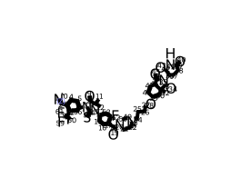 C/N=C\c1ccc(N2C(=O)C(C)(C)N(c3ccc(C(=O)N4CCN(CCCCOC5=CC6(C)C(=O)N(C7CCC(=O)NC7=O)C(=O)C6C=C5)CC4)c(F)c3)C2=S)cc1C(F)(F)F